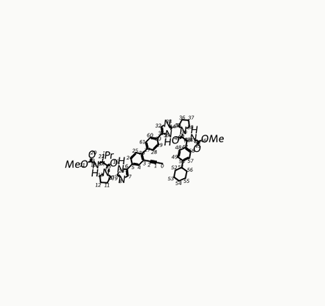 CC#Cc1cc(-c2cnc([C@@H]3CCCN3C(=O)[C@@H](NC(=O)OC)C(C)C)[nH]2)ccc1-c1ccc(-c2cnc([C@@H]3CCCN3C(=O)[C@H](NC(=O)OC)c3ccc(C4CCCCC4)cc3)[nH]2)cc1